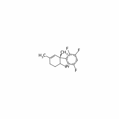 CC1=C[C@](C)(c2cc(F)cc(F)c2F)C(C(C)C)CC1